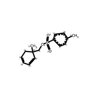 Cc1ccc(S(=O)(=O)O[CH]C2(C)C=CC=CC2)cc1